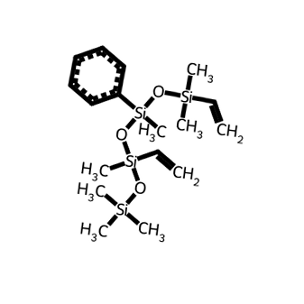 C=C[Si](C)(C)O[Si](C)(O[Si](C)(C=C)O[Si](C)(C)C)c1ccccc1